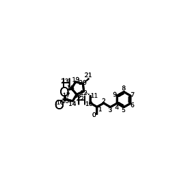 CC(CCc1ccccc1)CC[C@@H]1[C@H]2CC(=O)O[C@H]2C[C@H]1C